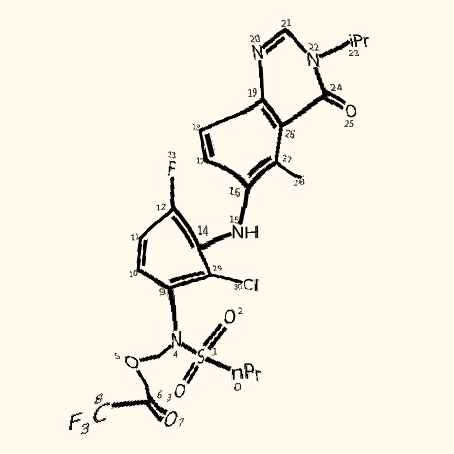 CCCS(=O)(=O)N(OC(=O)C(F)(F)F)c1ccc(F)c(Nc2ccc3ncn(C(C)C)c(=O)c3c2C)c1Cl